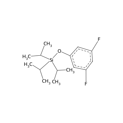 CC(C)[Si](Oc1cc(F)cc(F)c1)(C(C)C)C(C)C